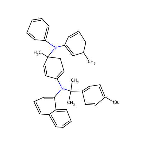 CC1C=C(N(c2ccccc2)C2(C)C=CC(N(c3cccc4ccccc34)C(C)(C)c3ccc(C(C)(C)C)cc3)=CC2)C=CC1